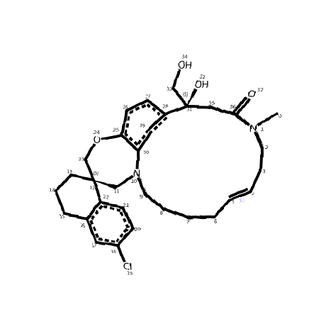 CN1CC/C=C/CCCCN2C[C@@]3(CCCc4cc(Cl)ccc43)COc3ccc(cc32)[C@](O)(CO)CC1=O